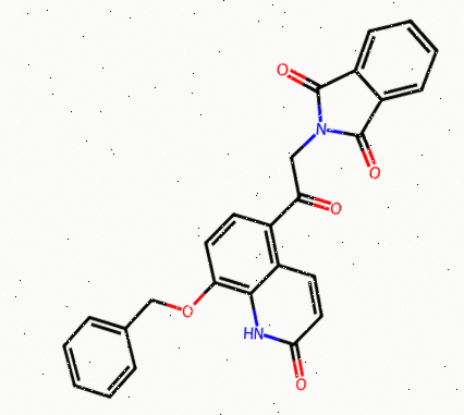 O=C(CN1C(=O)c2ccccc2C1=O)c1ccc(OCc2ccccc2)c2[nH]c(=O)ccc12